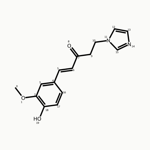 COc1cc(C=CC(=O)CCn2ccnc2)ccc1O